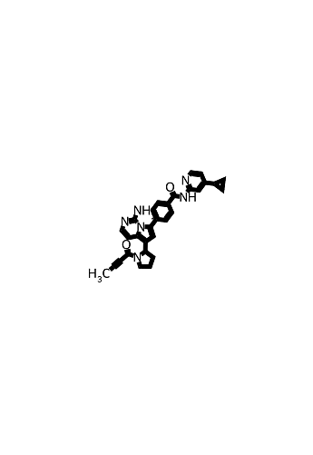 CC#CC(=O)N1CCCC1c1cc(-c2ccc(C(=O)Nc3cc(C4CC4)ccn3)cc2)n2c(N)nccc12